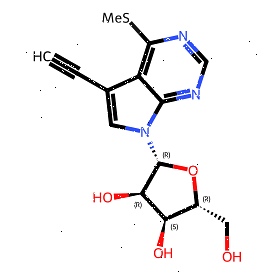 C#Cc1cn([C@@H]2O[C@H](CO)[C@@H](O)[C@H]2O)c2ncnc(SC)c12